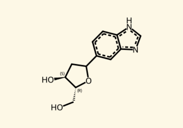 OC[C@H]1OC(c2ccc3[nH]cnc3c2)C[C@@H]1O